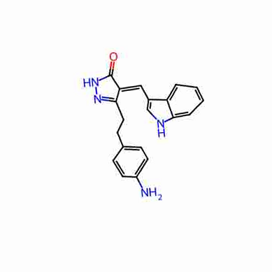 Nc1ccc(CCC2=NNC(=O)C2=Cc2c[nH]c3ccccc23)cc1